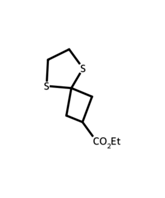 CCOC(=O)C1CC2(C1)SCCS2